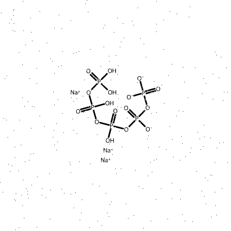 O=P([O-])([O-])OP(=O)([O-])OP(=O)(O)OP(=O)(O)OP(=O)(O)O.[Na+].[Na+].[Na+]